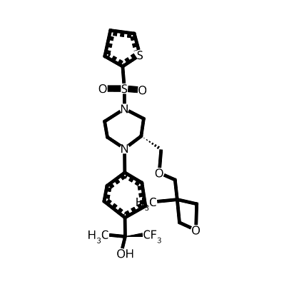 CC1(COC[C@H]2CN(S(=O)(=O)c3cccs3)CCN2c2ccc([C@@](C)(O)C(F)(F)F)cc2)COC1